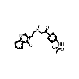 CN(CCn1cnc2ccccc2c1=O)CC(=O)c1ccc(NS(C)(=O)=O)cc1